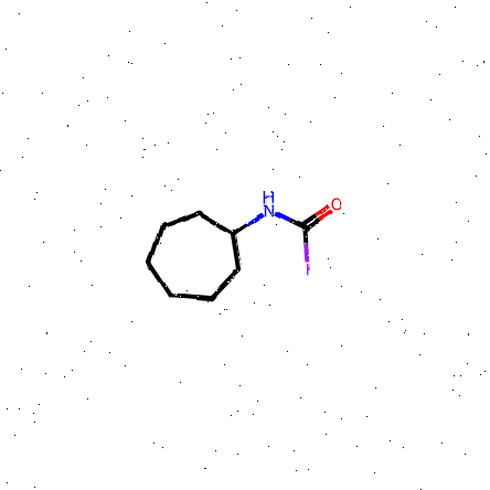 O=C(I)NC1CCCCCC1